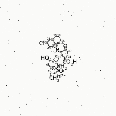 CCC[C@H]([C@@H](C)C/C=C/[C@H](O)[C@@H]1CC[C@H]1CN1C[C@@]2(CCCc3cc(Cl)ccc32)COc2ccc(C(=O)O)cc21)S(N)(=O)=O